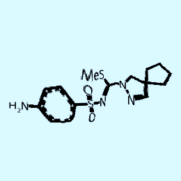 CSC(=NS(=O)(=O)c1ccc(N)cc1)N1CC2(C=N1)CCCC2